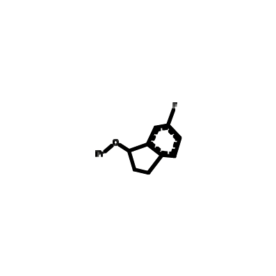 CC(C)OC1CCc2ccc(F)cc21